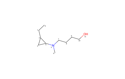 CCC1CC1N(C)CCCCO